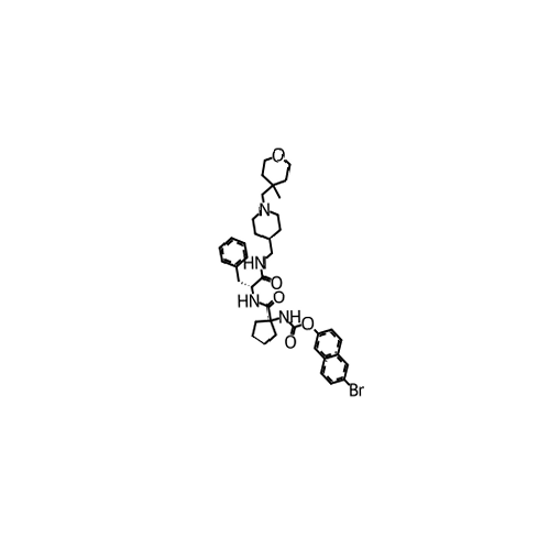 CC1(CN2CCC(CNC(=O)[C@@H](Cc3ccccc3)NC(=O)C3(NC(=O)Oc4ccc5cc(Br)ccc5c4)CCCC3)CC2)CCOCC1